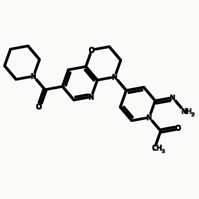 CC(=O)n1ccc(N2CCOc3cc(C(=O)N4CCCCC4)cnc32)c/c1=N/N